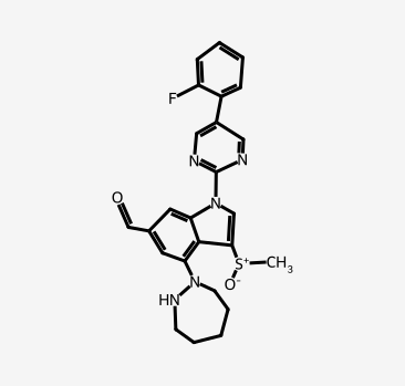 C[S+]([O-])c1cn(-c2ncc(-c3ccccc3F)cn2)c2cc(C=O)cc(N3CCCCCN3)c12